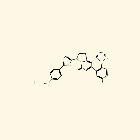 O=C(O)Nc1ccc(-c2ncc(C3CCc4cc(-c5cc(Cl)ccc5-n5cnnn5)cc(=O)n43)[nH]2)cc1